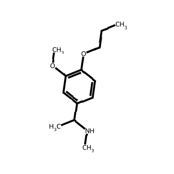 CCCOc1ccc(C(C)NC)cc1OC